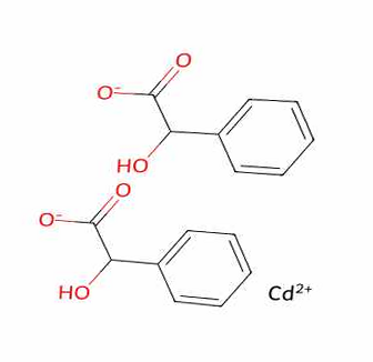 O=C([O-])C(O)c1ccccc1.O=C([O-])C(O)c1ccccc1.[Cd+2]